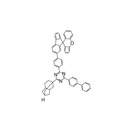 c1ccc(-c2ccc(-c3nc(-c4ccc(-c5ccc6c(c5)C5(c7ccccc7Oc7ccccc75)c5ccccc5-6)cc4)nc(C45CCC6C[C@H](CC6C4)C5)n3)cc2)cc1